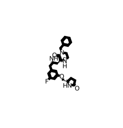 CC(=O)N[C@@H](Cc1cc(F)cc(OC[C@@H]2CCC(=O)N2)c1)C[C@@H]1NCCN(Cc2ccccc2)C1=O